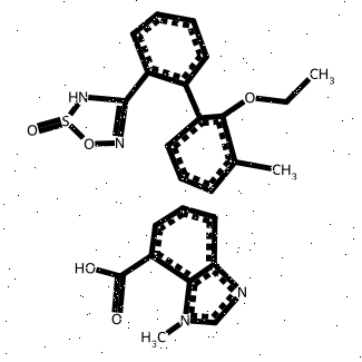 CCOc1c(C)cccc1-c1ccccc1C1=NOS(=O)N1.Cn1cnc2cccc(C(=O)O)c21